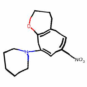 O=[N+]([O-])c1cc2c(c(N3CCCCC3)c1)OCC2